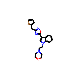 c1csc(Cc2noc(-c3cn(CCN4CCOCC4)c4ccccc34)n2)c1